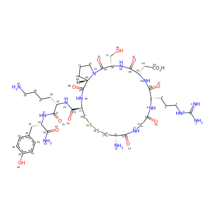 N=C(N)NCCC[C@@H]1NC(=O)CNC(=O)[C@H](N)CSSC[C@@H](C(=O)N[C@@H](CCCCN)C(=O)N[C@@H](Cc2ccc(O)cc2)C(N)=O)NC(=O)[C@@H]2CCCN2C(=O)[C@H](CO)NC(=O)[C@H](CC(=O)O)NC1=O